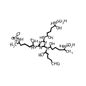 CC(CCCC(O)Nc1nc(NC(O)CCCC(O)NS(=O)(=O)O)nc(N(C(O)CCCC=O)C(O)CCCC(C)NS(=O)(=O)O)n1)N[SH](=O)=O